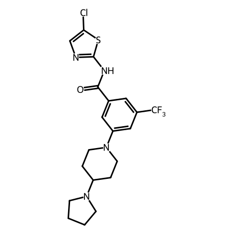 O=C(Nc1ncc(Cl)s1)c1cc(N2CCC(N3CCCC3)CC2)cc(C(F)(F)F)c1